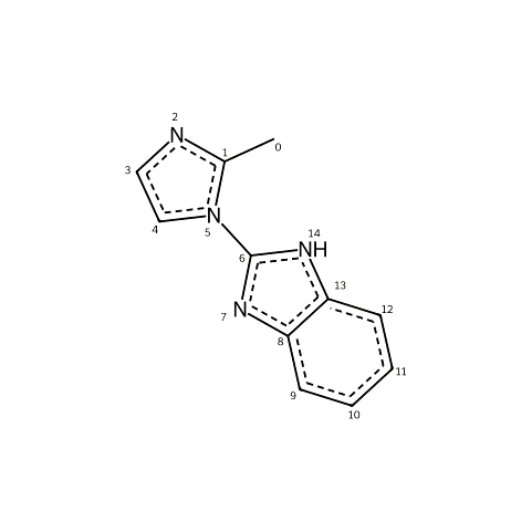 Cc1nccn1-c1nc2ccccc2[nH]1